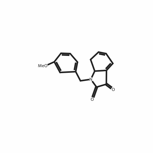 COc1cccc(CN2C(=O)C(=O)C3=CC=CCC32)c1